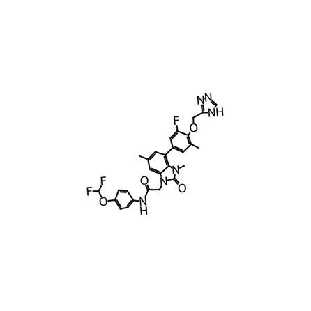 Cc1cc(-c2cc(C)c(OCc3nnc[nH]3)c(F)c2)c2c(c1)n(CC(=O)Nc1ccc(OC(F)F)cc1)c(=O)n2C